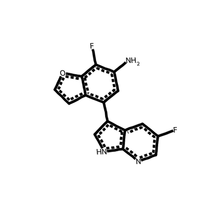 Nc1cc(-c2c[nH]c3ncc(F)cc23)c2ccoc2c1F